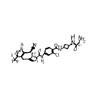 C[C@@H](N)C(=O)NC1CC(NC(=O)c2ccc(NC(=O)c3ncc(Cc4c(C(F)(F)F)n[nH]c4CC#N)[nH]3)cc2Cl)C1